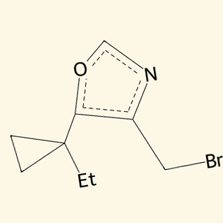 CCC1(c2ocnc2CBr)CC1